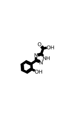 O=C(O)c1nc(-c2ccccc2O)n[nH]1